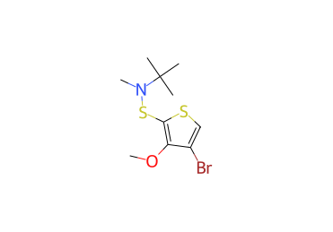 COc1c(Br)csc1SN(C)C(C)(C)C